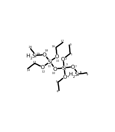 CCO[Si](OCC)(O[SiH2]C)O[Si](OCC)(OCC)O[SiH2]C